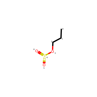 CCCO[SH](=O)=O